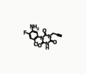 C#CCn1c(=O)[nH]c(=O)n(-c2cc(N)c(F)cc2Cl)c1=O